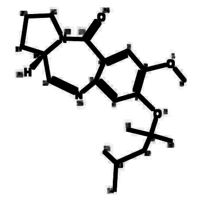 COc1cc2c(cc1OC(C)(C)CC(C)C)N=C[C@@H]1CCCN1C2=O